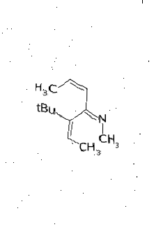 C\C=C/C(=N/C)C(=C\C)/C(C)(C)C